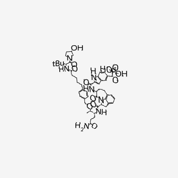 C[C@@H](OCc1ccc(CCCCC(=O)N[C@H](C(=O)N2CC[C@@H](O)C2)C(C)(C)C)cc1)[C@H](CCC(N)=O)NC(=O)[C@@H]1Cc2cccc3c2N1C(=O)[C@@H](NC(=O)c1cc2cc(C(=O)P(=O)(O)O)ccc2[nH]1)CC3